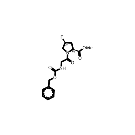 COC(=O)[C@@H]1C[C@H](F)CN1C(=O)CNC(=O)OCc1ccccc1